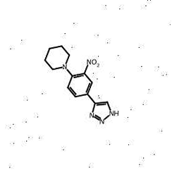 O=[N+]([O-])c1cc(-c2c[nH]nn2)ccc1N1CCCCC1